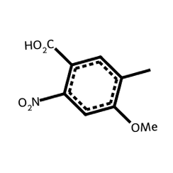 COc1cc([N+](=O)[O-])c(C(=O)O)cc1C